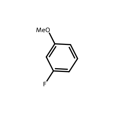 [CH2]Oc1cccc(F)c1